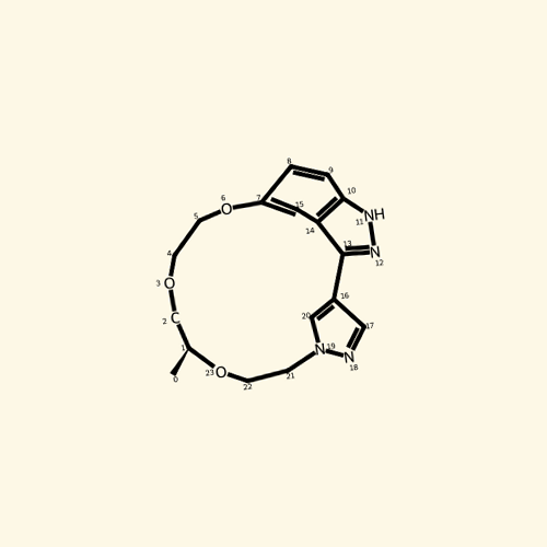 C[C@H]1COCCOc2ccc3[nH]nc(c3c2)-c2cnn(c2)CCO1